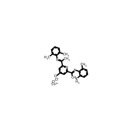 CC(=Nc1c(C)cccc1C)c1cc(Cl)cc(C(C)=Nc2c(C)cccc2C)n1.[Cl-].[Cl-].[Co+2]